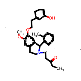 CCC(=O)CCN1CCc2cc(OC)c(OCCC3=CC(O)=CCC3)cc2C1c1ccccc1C